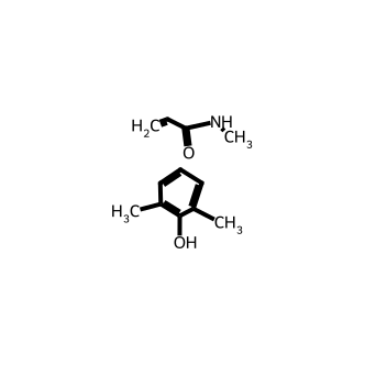 C=CC(=O)NC.Cc1cccc(C)c1O